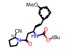 COc1cccc(C=CC(CC(=O)N2CCC[C@H]2C#N)NC(=O)OC(C)(C)C)c1